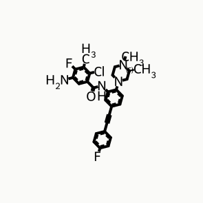 Cc1c(F)c(N)cc(C(=O)Nc2cc(C#Cc3ccc(F)cc3)ccc2N2CCN(C)[C@@H](C)C2)c1Cl